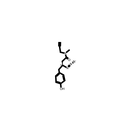 C#CCN(C)C(=O)C[C@H](Cc1ccc(O)cc1)N=[N+]=[N-]